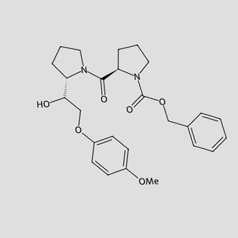 COc1ccc(OCC(O)[C@@H]2CCCN2C(=O)[C@H]2CCCN2C(=O)OCc2ccccc2)cc1